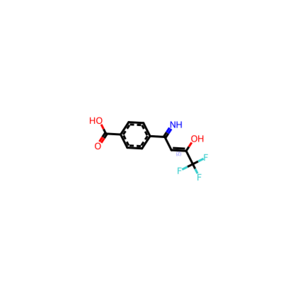 N=C(/C=C(\O)C(F)(F)F)c1ccc(C(=O)O)cc1